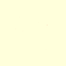 C=C=C[CH]C(=CO)c1ccccc1